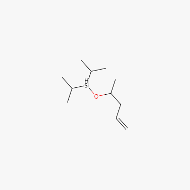 C=CCC(C)O[SiH](C(C)C)C(C)C